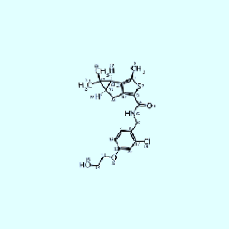 Cc1sc(C(=O)NCc2ccc(OCCO)cc2Cl)c2c1[C@H]1[C@@H](C2)C1(C)C